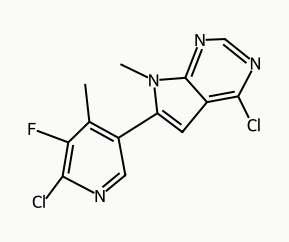 Cc1c(-c2cc3c(Cl)ncnc3n2C)cnc(Cl)c1F